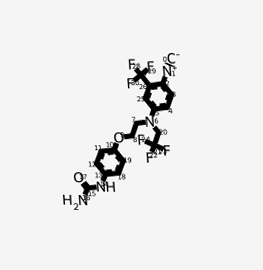 [C-]#[N+]c1ccc(N(CCOc2ccc(NC(N)=O)cc2)CC(F)(F)F)cc1C(F)(F)F